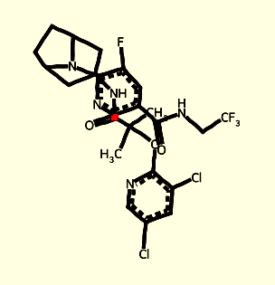 CC(C)(Oc1ncc(Cl)cc1Cl)C(=O)NC1CC2CCC(C1)N2c1ncc(C(=O)NCC(F)(F)F)cc1F